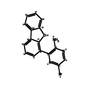 Nc1ncc(Br)nc1-c1cccc2c1oc1ccccc12